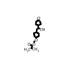 C=C(C)C(=O)OCOc1ccc(/C=C(\C#N)c2ccc(Cl)cc2)cc1